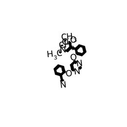 COC(=O)/C(=C\N(C)C)c1ccccc1Oc1cc(Oc2ccccc2C#N)ncn1